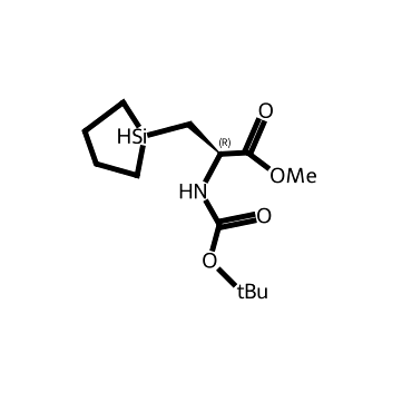 COC(=O)[C@H](C[SiH]1CCCC1)NC(=O)OC(C)(C)C